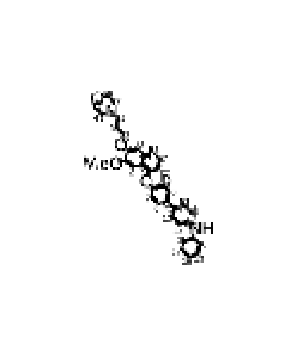 COc1cc2c(Oc3ccc(-c4ccc(Nc5ccccc5)nn4)cc3F)ccnc2cc1OCCCN1CCOCC1